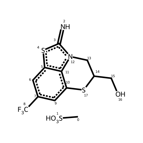 CS(=O)(=O)O.N=c1sc2cc(C(F)(F)F)cc3c2n1CC(CO)S3